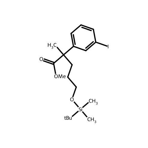 COC(=O)C(C)(CCCO[Si](C)(C)C(C)(C)C)c1cccc(I)c1